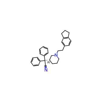 N#CC(c1ccccc1)(c1ccccc1)[C@H]1CCCN(CCc2ccc3c(c2)CCC3)C1